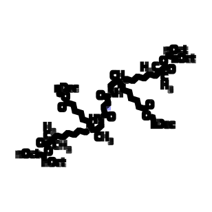 CCCCCCCCCCCOC(=O)CCCCCN(CCCCCCC(C)(C)C(=O)OC(CCCCCCCC)CCCCCCCC)C(C)CNC(=O)/C=C/C(=O)NCC(C)N(CCCCCCC(C)(C)C(=O)OC(CCCCCCCC)CCCCCCCC)CCCCCC(=O)OCCCCCCCCCCC